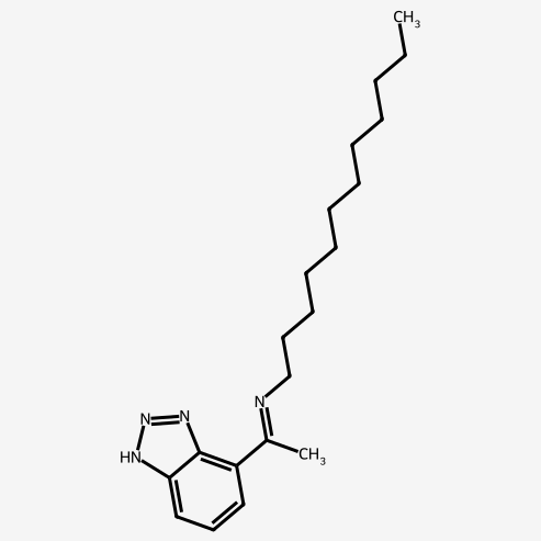 CCCCCCCCCCCCN=C(C)c1cccc2[nH]nnc12